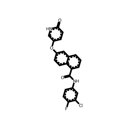 O=C(Nc1ccc(F)c(Cl)c1)c1cccc2cc(Oc3ccc(=O)[nH]c3)ccc12